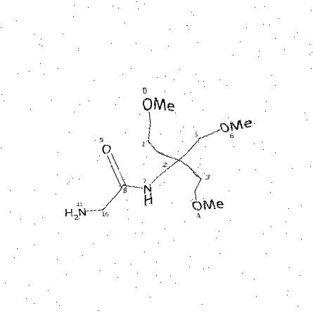 COCC(COC)(COC)NC(=O)CN